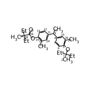 CCC(C)(CC)Oc1ccc(C(C)c2ccc(OC(=O)C(C)(CC)CC)c(C)c2)cc1C